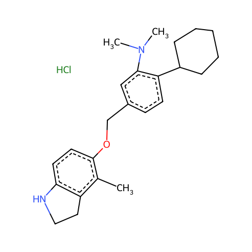 Cc1c(OCc2ccc(C3CCCCC3)c(N(C)C)c2)ccc2c1CCN2.Cl